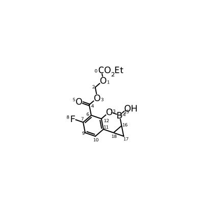 CCOC(=O)OCOC(=O)c1c(F)ccc2c1OB(O)C1CC21